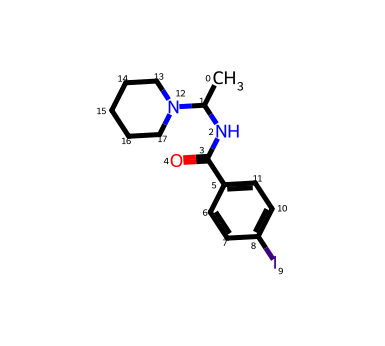 CC(NC(=O)c1ccc(I)cc1)N1CCCCC1